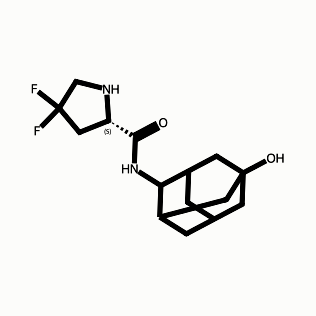 O=C(NC1C2CC3CC1CC(O)(C3)C2)[C@@H]1CC(F)(F)CN1